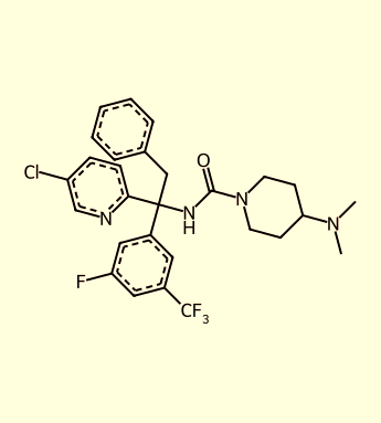 CN(C)C1CCN(C(=O)NC(Cc2ccccc2)(c2cc(F)cc(C(F)(F)F)c2)c2ccc(Cl)cn2)CC1